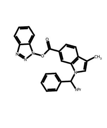 CCCC(c1ccccc1)n1cc(C)c2ccc(C(=O)On3nnc4ccccc43)cc21